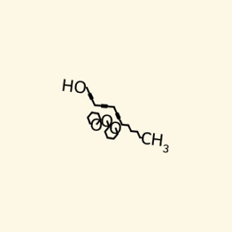 C1CCC(OC2CCCCO2)OC1.CCCCCCC#CCC#CCC#CCO